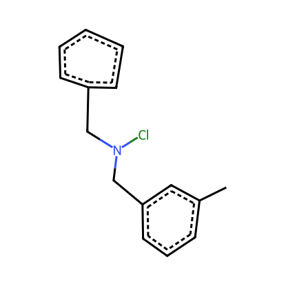 Cc1cccc(CN(Cl)Cc2ccccc2)c1